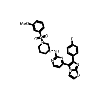 COc1cccc(S(=O)(=O)N2CCC[C@@H](Nc3nccc(-c4c(-c5ccc(F)cc5)nc5occn45)n3)C2)c1